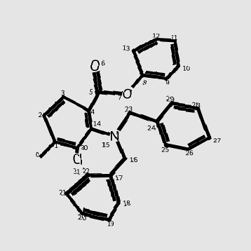 Cc1ccc(C(=O)Oc2ccccc2)c(N(Cc2ccccc2)Cc2ccccc2)c1Cl